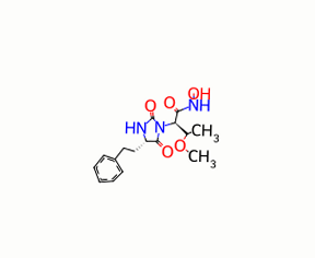 COC(C)[C@H](C(=O)NO)N1C(=O)N[C@@H](CCc2ccccc2)C1=O